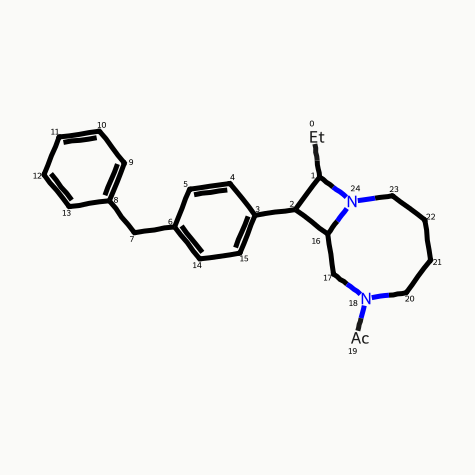 CCC1C(c2ccc(Cc3ccccc3)cc2)C2CN(C(C)=O)CCCCN12